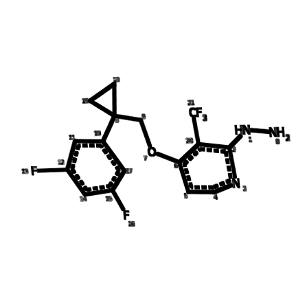 NNc1nccc(OCC2(c3cc(F)cc(F)c3)CC2)c1C(F)(F)F